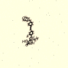 C[C@@H](CF)NC[C@@H](Cc1nc[nH]c(=O)c1O)c1ccc(C#Cc2ccc(CN3CC4COCC4C3)cc2)cc1F